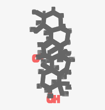 CC1CCC2CCC3(C)C(=CC(=O)C4C5(C)CCC(O)C(C)(C)C5CCC43C)C2C1C